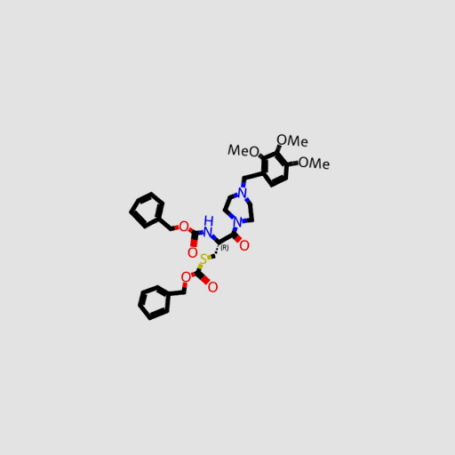 COc1ccc(CN2CCN(C(=O)[C@H](CSC(=O)OCc3ccccc3)NC(=O)OCc3ccccc3)CC2)c(OC)c1OC